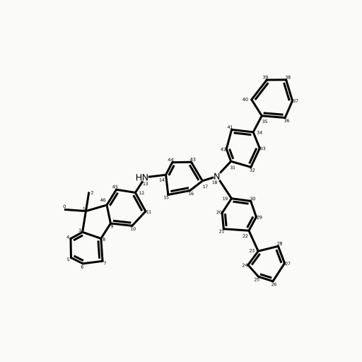 CC1(C)c2ccccc2-c2ccc(Nc3ccc(N(c4ccc(-c5ccccc5)cc4)c4ccc(-c5ccccc5)cc4)cc3)cc21